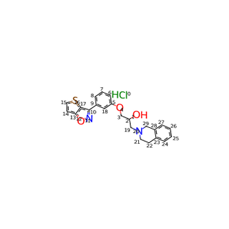 Cl.OC(COc1cccc(-c2noc3ccsc23)c1)CN1CCc2ccccc2C1